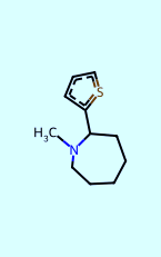 CN1CCCCCC1c1cccs1